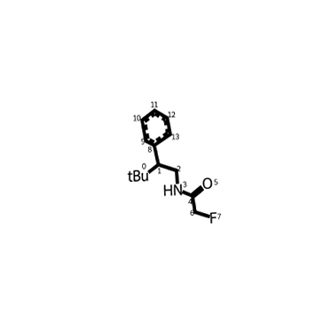 CC(C)(C)C(CNC(=O)CF)c1ccccc1